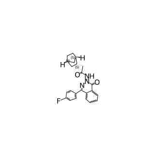 O=C(C[C@@H]1C[C@@H]2CC[C@H]1C2)Nn1nc(-c2ccc(F)cc2)c2ccccc2c1=O